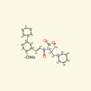 COc1ccc(-c2ccccc2)cc1/C=C/C(=O)N1C(=O)OCC1Cc1ccccc1